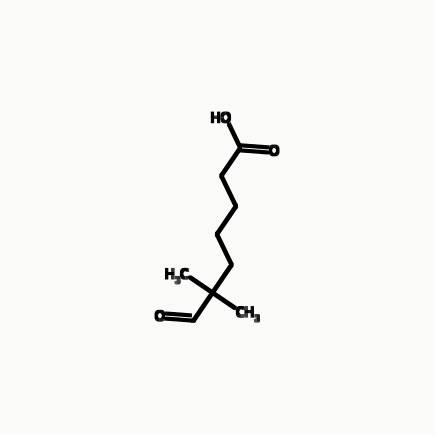 CC(C)(C=O)CCCCC(=O)O